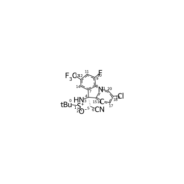 CC(C)(C)[S+]([O-])N[C@@](CC#N)(c1cc(F)cc(C(F)(F)F)c1)c1ccc(Cl)cn1